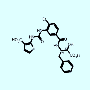 CCc1ccc(C(=O)N[C@H](Cc2ccccc2)[C@@H](O)C(=O)O)cc1NC(=O)Nc1sccc1C(=O)O